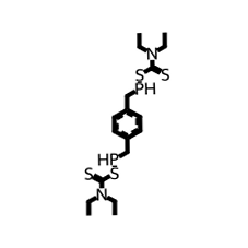 CCN(CC)C(=S)SPCc1ccc(CPSC(=S)N(CC)CC)cc1